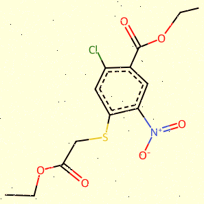 CCOC(=O)CSc1cc(Cl)c(C(=O)OCC)cc1[N+](=O)[O-]